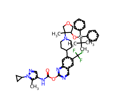 Cc1c(NC(=O)Oc2ncc3cc(C(F)(F)F)c(C4CCN(C5(C)COCC5O[Si](c5ccccc5)(c5ccccc5)C(C)(C)C)CC4)cc3n2)cnn1C1CC1